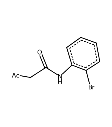 CC(=O)CC(=O)Nc1ccccc1Br